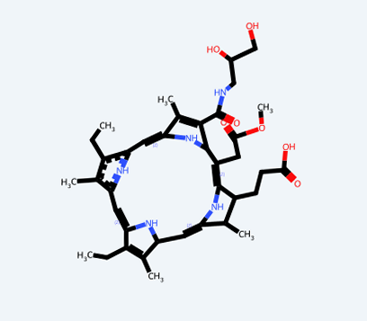 CCC1=C(C)C2/C=C3\N/C(=C(/CC(=O)OC)C4N/C(=C\c5[nH]c(c(C)c5CC)/C=C/1N2)C(C)=C4C(=O)NCC(O)CO)C(CCC(=O)O)C3C